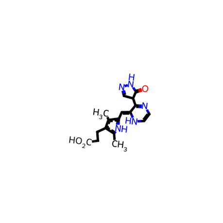 Cc1[nH]c(C=C2NC=CN=C2C2C=NNC2=O)c(C)c1CCC(=O)O